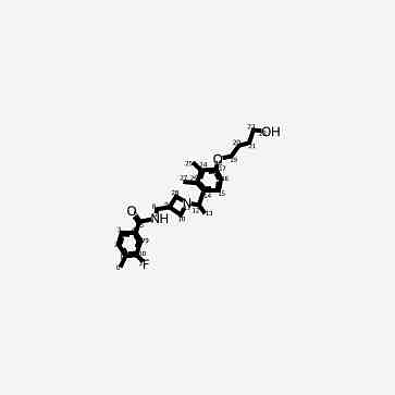 Cc1ccc(C(=O)NCC2CN(C(C)c3ccc(OCCCCO)c(C)c3C)C2)cc1F